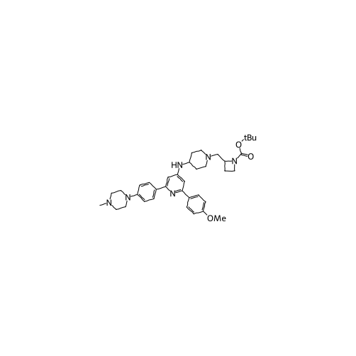 COc1ccc(-c2cc(NC3CCN(CC4CCN4C(=O)OC(C)(C)C)CC3)cc(-c3ccc(N4CCN(C)CC4)cc3)n2)cc1